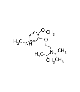 CNc1ccc(OC)c(OCCN(C(C)C)C(C)C)c1